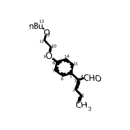 C=C/C=C(\C=O)c1ccc(OCCOCCCC)cc1